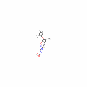 COc1cc(/C=C2/SC(N3CCN(CC4OCCO4)CC3)=NC2=O)ccc1OCc1ccc(C(F)(F)F)cc1C(F)(F)F